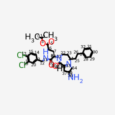 CC(C)OC(=O)CC[C@H](C(=O)NCc1ccc(Cl)c(Cl)c1)N1CCC(CCc2ccccc2)N2C[C@H](N)C[C@H]2C1=O